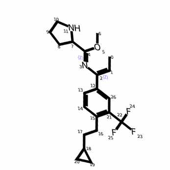 C/C=C(\N=C(/OC)C1CCCN1)c1ccc(CCC2CC2)c(C(F)(F)F)c1